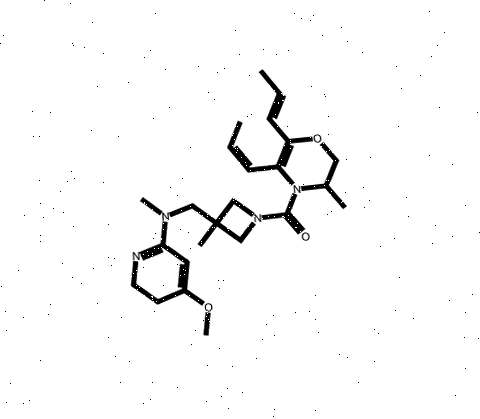 C/C=C\C1=C(/C=C/C)OCC(C)N1C(=O)N1CC(C)(CN(C)C2=NCCC(OC)=C2)C1